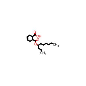 CCCCCCC(CCC)OC(=O)C1CC=CCC1C(=O)O